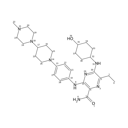 CCc1nc(C(N)=O)c(Nc2ccc(N3CCC(N4CCN(C)CC4)CC3)cc2)nc1NC1CCC(O)CC1